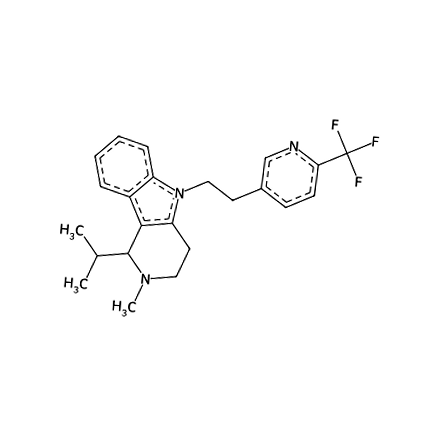 CC(C)C1c2c(n(CCc3ccc(C(F)(F)F)nc3)c3ccccc23)CCN1C